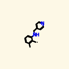 [CH2]c1c(C)cccc1NCc1ccncc1